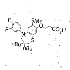 CCCCC1(CCCC)CSc2cc(OCCC(=O)O)c(SC)cc2N(c2ccc(F)c(F)c2)C1